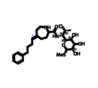 CSC1O[C@H]([C@H](NC(=O)C2CC/C(=C\CCCc3ccccc3)CCN2)[C@H](C)Cl)[C@@H](O)C(O)[C@H]1O